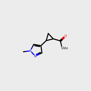 CSC(=O)C1CC1c1cnn(C)c1